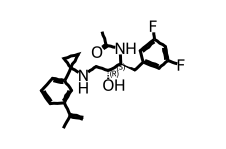 C=C(C)c1cccc(C2(NC[C@@H](O)[C@H](Cc3cc(F)cc(F)c3)NC(C)=O)CC2)c1